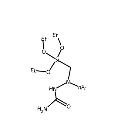 CCCN(C[Si](OCC)(OCC)OCC)NC(N)=O